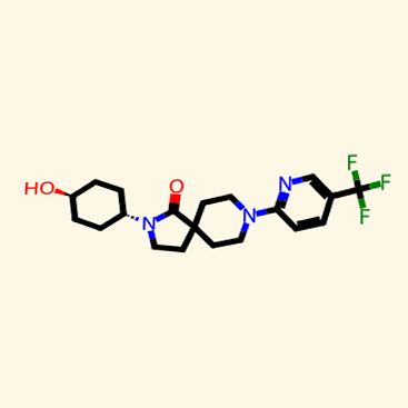 O=C1N([C@H]2CC[C@H](O)CC2)CCC12CCN(c1ccc(C(F)(F)F)cn1)CC2